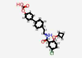 O=C(O)Oc1ccc(-c2ccc(CCNC(=O)c3cc(Cl)ccc3OC3CCC3)cc2)cc1